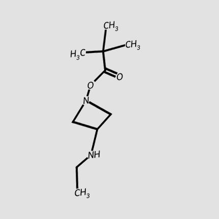 CCNC1CN(OC(=O)C(C)(C)C)C1